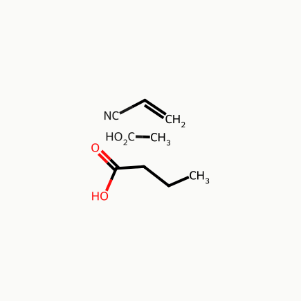 C=CC#N.CC(=O)O.CCCC(=O)O